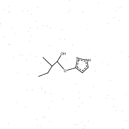 CCC(C)C(O)Oc1cc[nH]n1